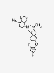 C[C@@H]1CN(c2ccc(C#N)c3ncccc23)CC2=C3CC=C(O[C@H]4CNC[C@@H]4F)C=C3CN21